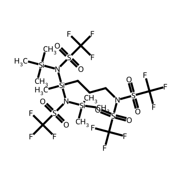 C[Si](C)(C)N([Si](C)(CCCN(S(=O)(=O)C(F)(F)F)S(=O)(=O)C(F)(F)F)N([Si](C)(C)C)S(=O)(=O)C(F)(F)F)S(=O)(=O)C(F)(F)F